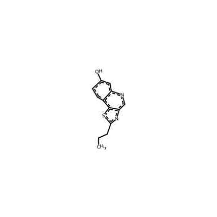 CCCc1nc2cnc3cc(O)ccc3c2s1